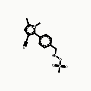 Cc1cc(C#N)c(-c2ccc(CNOS(C)(=O)=O)cc2)n1C